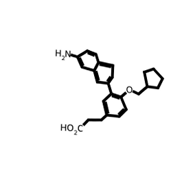 Nc1ccc2ccc(-c3cc(CCC(=O)O)ccc3OCC3CCCC3)cc2c1